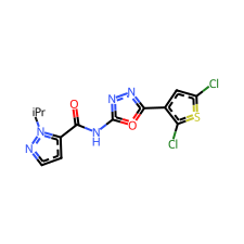 CC(C)n1nccc1C(=O)Nc1nnc(-c2cc(Cl)sc2Cl)o1